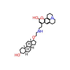 C[C@]12CC[C@@H](O)C[C@@H]1CC[C@@H]1[C@@H]2CC[C@]2(C)[C@@H](OCCNCCC3=CC(O)Oc4c3cc3c5c4CCCN5CCC3)CC[C@@H]12